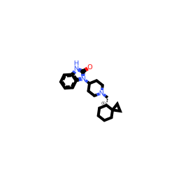 O=c1[nH]c2ccccc2n1C1CCN(C[C@H]2CCCCC23CC3)CC1